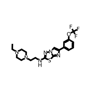 CCN1CCN(CCNc2nn3cc(-c4cccc(OC(F)(F)F)c4)nc3s2)CC1